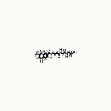 C[C@@H](Nc1ccc(C(=O)NCCCC(=O)NCC(=O)NCC(=O)O)cc1)/C(=C/N)N(C)C